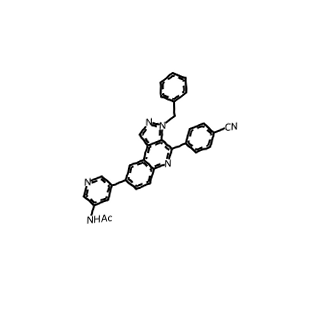 CC(=O)Nc1cncc(-c2ccc3nc(-c4ccc(C#N)cc4)c4c(cnn4Cc4ccccc4)c3c2)c1